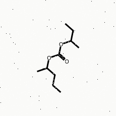 C[CH]C(C)OC(=O)OC(C)CCC